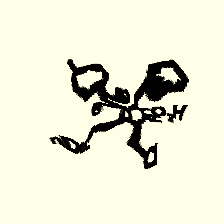 CCCCCCCCCCCCCC(CCl)C(C)=O.Cc1ccc(S(=O)(=O)N[C@@H](Cc2ccccc2)C(=O)O)cc1